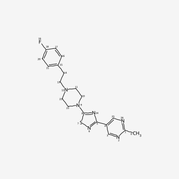 Cc1ncc(-c2nsc(N3CCN(CCc4ccc(F)cc4)CC3)n2)cn1